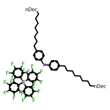 CCCCCCCCCCCCCCCCCCc1ccc([I+]c2ccc(CCCCCCCCCCCCCCCCCC)cc2)cc1.Fc1c(F)c(F)c([B-](c2c(F)c(F)c(F)c(F)c2F)(c2c(F)c(F)c(F)c(F)c2F)c2c(F)c(F)c(F)c(F)c2F)c(F)c1F